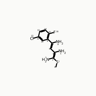 CS/C(N)=C(N)/C=C(\N)c1cc(Cl)ccc1F